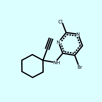 C#CC1(Nc2nc(Cl)ncc2Br)CCCCC1